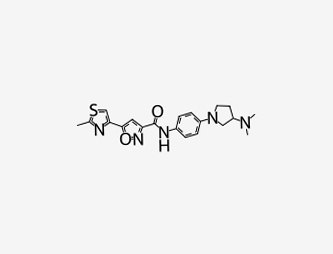 Cc1nc(-c2cc(C(=O)Nc3ccc(N4CCC(N(C)C)C4)cc3)no2)cs1